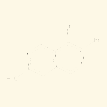 Cc1ccc2c(Br)c(Br)ccc2c1